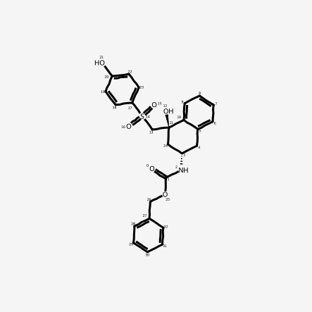 O=C(N[C@H]1Cc2ccccc2[C@@](O)(CS(=O)(=O)c2ccc(O)cc2)C1)OCc1ccccc1